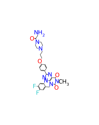 Cn1c(=O)c2nc(-c3ccc(OCCCN4CCN(C(=O)CN)CC4)cc3)nnc2n(Cc2ccc(F)c(F)c2)c1=O